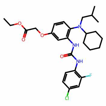 CCOC(=O)COc1ccc(N(CC(C)C)C2CCCCC2)c(NC(=O)Nc2ccc(Cl)cc2F)c1